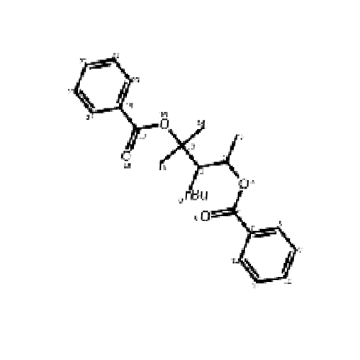 CCCCC(C(C)OC(=O)c1ccccc1)C(C)(C)OC(=O)c1ccccc1